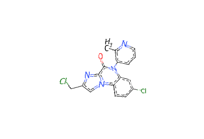 Cc1ncccc1-n1c(=O)c2nc(CCl)cn2c2ccc(Cl)cc21